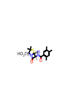 Cc1cc(C)c(C(=O)N[C@@]2(C)C(=O)N3[C@@H](C(=O)O)C(C)(C)S[C@@H]32)cc1C